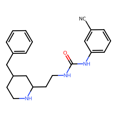 N#Cc1cccc(NC(=O)NCCC2CC(Cc3ccccc3)CCN2)c1